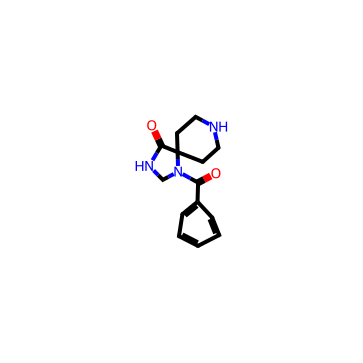 O=C(c1ccccc1)N1CNC(=O)C12CCNCC2